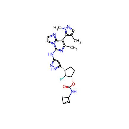 Cc1cnn(C)c1-c1c(C)nc(Nc2cc([C@@H]3CC[C@H](OC(=O)NC45CC(C4)C5)[C@H]3F)[nH]n2)n2ccnc12